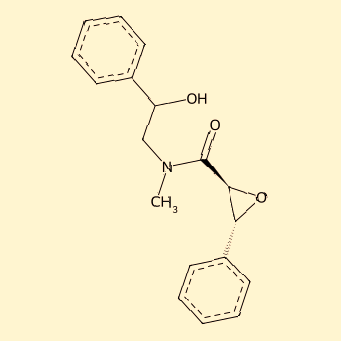 CN(CC(O)c1ccccc1)C(=O)[C@H]1O[C@@H]1c1ccccc1